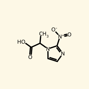 CC(C(=O)O)n1ccnc1[N+](=O)[O-]